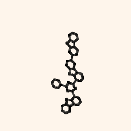 c1ccc(-c2nc(-c3cccc4c3oc3ccccc34)nc(-c3cccc4c3oc3ccc(-c5ccc6c(c5)oc5ccccc56)cc34)n2)cc1